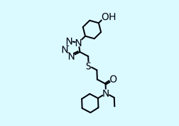 CCN(C(=O)CCSCc1nnnn1C1CCC(O)CC1)C1CCCCC1